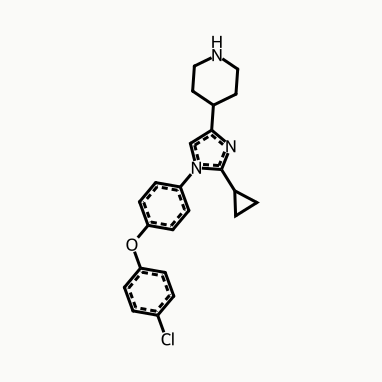 Clc1ccc(Oc2ccc(-n3cc(C4CCNCC4)nc3C3CC3)cc2)cc1